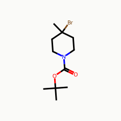 CC1(Br)CCN(C(=O)OC(C)(C)C)CC1